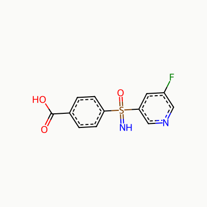 N=S(=O)(c1ccc(C(=O)O)cc1)c1cncc(F)c1